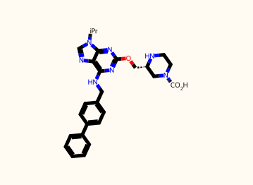 CC(C)n1cnc2c(NCc3ccc(-c4ccccc4)cc3)nc(OC[C@H]3CN(C(=O)O)CCN3)nc21